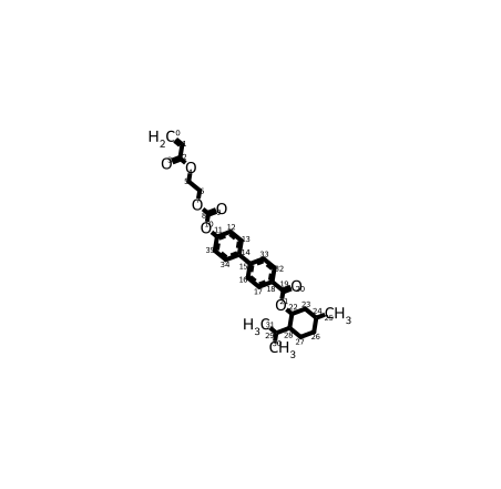 C=CC(=O)OCCOC(=O)Oc1ccc(-c2ccc(C(=O)OC3CC(C)CCC3C(C)C)cc2)cc1